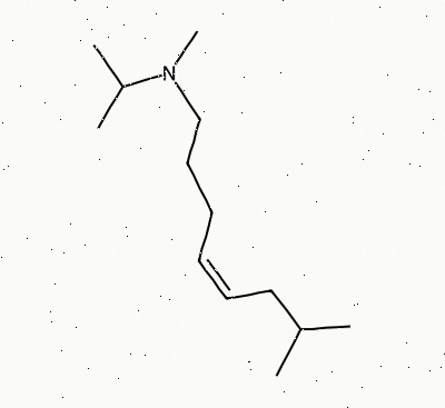 CC(C)C/C=C\CCCN(C)C(C)C